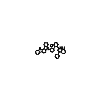 C1=CC2=C(c3ccccc3)C=C(c3cccc4oc5c(-n6c7ccccc7c7c8sc9ccccc9c8ccc76)cccc5c34)NC2C=C1